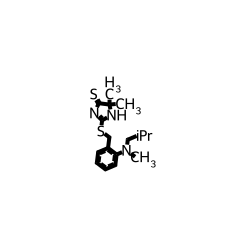 CC(C)CN(C)c1ccccc1CSC1=NC(=S)C(C)(C)N1